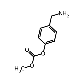 COC(=O)Oc1ccc(CN)cc1